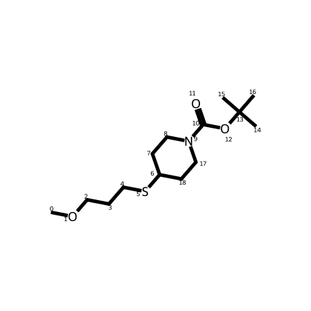 COCCCSC1CCN(C(=O)OC(C)(C)C)CC1